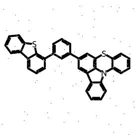 c1cc(-c2cc3c4c(c2)c2ccccc2n4-c2ccccc2S3)cc(-c2cccc3c2sc2ccccc23)c1